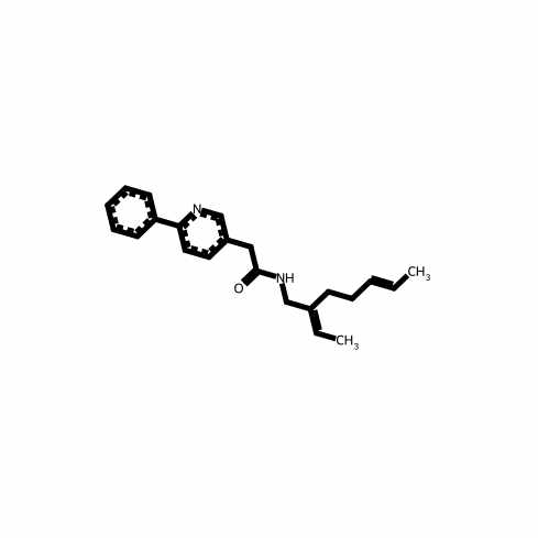 C/C=C/CC/C(=C\C)CNC(=O)Cc1ccc(-c2ccccc2)nc1